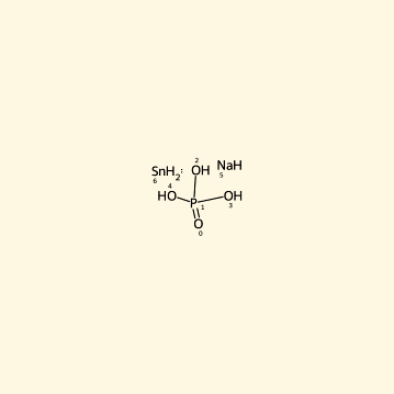 O=P(O)(O)O.[NaH].[SnH2]